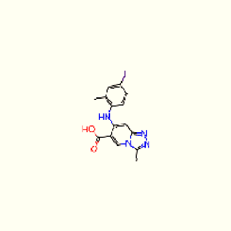 Cc1cc(I)ccc1Nc1cc2nnc(C)n2cc1C(=O)O